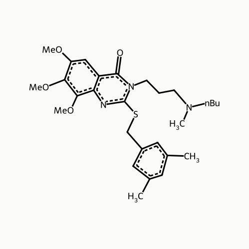 CCCCN(C)CCCn1c(SCc2cc(C)cc(C)c2)nc2c(OC)c(OC)c(OC)cc2c1=O